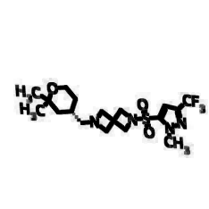 Cn1nc(C(F)(F)F)cc1S(=O)(=O)N1CC2(CN(C[C@H]3CCOC(C)(C)C3)C2)C1